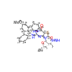 CC[C@H](C)[C@@H]1C[C@@H]([C@H](C)N=N)[C@H](n2c(=O)sc3c(=O)[nH]c(NC(c4ccccc4)(c4ccccc4)c4ccc(OC)cc4)nc32)O1